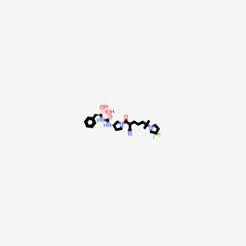 CC(C)(CCCC(C#N)C(=O)N1CC[C@H](NC(=O)N[C@@H](Cc2ccccc2)B(O)O)C1)N1CCC(F)(F)C1